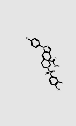 COC(=O)C12Cc3cnn(-c4ccc(F)cc4)c3C=C1CCN(S(=O)(=O)c1ccc(C)c(F)c1)C2